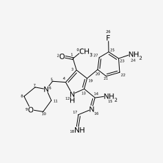 CC(=O)c1c(CN2CCOCC2)[nH]c(/C(N)=N\C=N)c1-c1ccc(N)c(F)c1